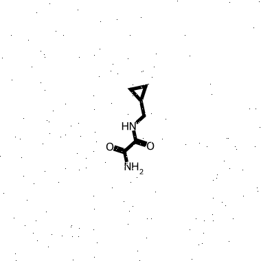 NC(=O)C(=O)NCC1CC1